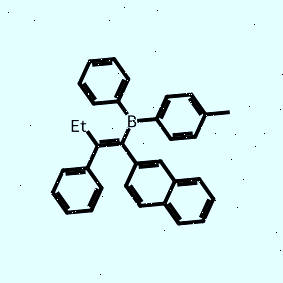 CC/C(=C(\B(c1ccccc1)c1ccc(C)cc1)c1ccc2ccccc2c1)c1ccccc1